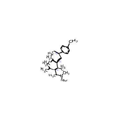 C=C(C)C(=C\C(=C/C)c1ccc(C)cc1)/C(C)=C(\C(=C)C)C(=C)N(C)CCCC